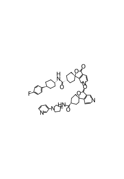 O=C1O[C@]2(CC[C@@H](C(=O)N[C@H]3CC[C@H](c4ccc(F)cc4)CC3)CC2)c2cnccc21.O=C1O[C@]2(CC[C@H](C(=O)N[C@H]3CCN(c4cccnc4)C3)CC2)c2ccncc21